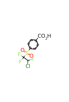 O=C(O)c1ccc(S(=O)(=O)C(F)(F)C(F)Cl)cc1